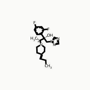 CCC=C1CCN([C@H](C)[C@](O)(Cn2cncn2)c2ccc(F)cc2F)CC1